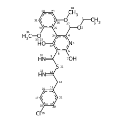 CCOCc1nc(O)c(C(=N)SC(=N)Cc2ccc(Cl)cc2)c(O)c1-c1c(OC)cccc1OC